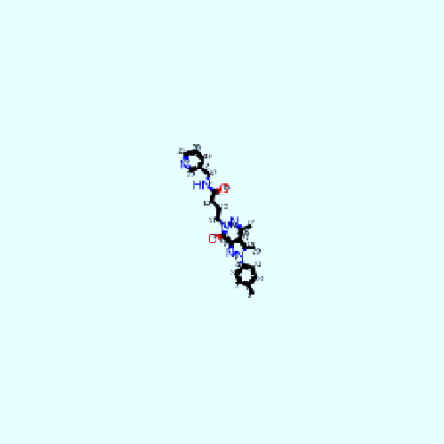 Cc1ccc(-n2nc3c(=O)n(CCCC(=O)NCc4cccnc4)nc(C)c3c2C)cc1